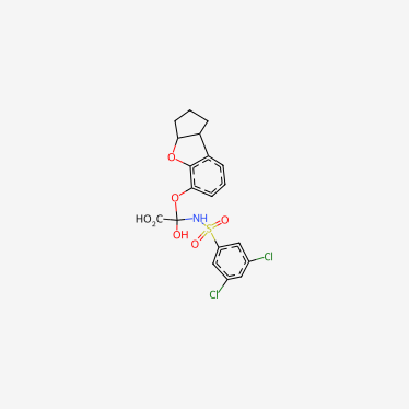 O=C(O)C(O)(NS(=O)(=O)c1cc(Cl)cc(Cl)c1)Oc1cccc2c1OC1CCCC21